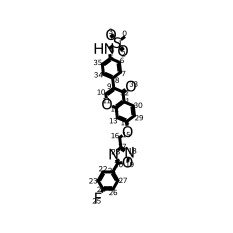 CS(=O)(=O)Nc1ccc(-c2coc3cc(OCc4noc(-c5ccc(F)cc5)n4)ccc3c2=O)cc1